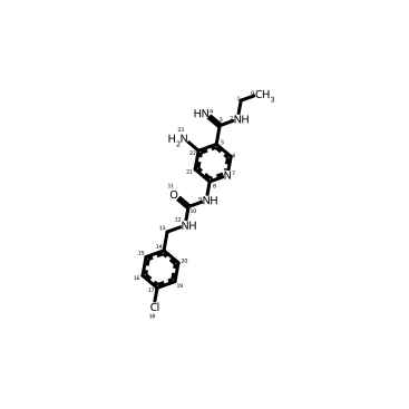 CCNC(=N)c1cnc(NC(=O)NCc2ccc(Cl)cc2)cc1N